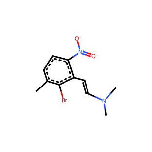 Cc1ccc([N+](=O)[O-])c(C=CN(C)C)c1Br